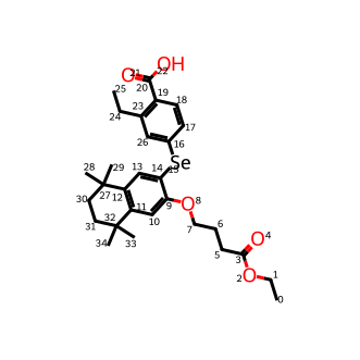 CCOC(=O)CCCOc1cc2c(cc1[Se]c1ccc(C(=O)O)c(CC)c1)C(C)(C)CCC2(C)C